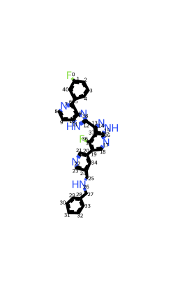 Fc1cccc(-c2nccc3[nH]c(-c4n[nH]c5ncc(-c6cncc(CNCc7ccccc7)c6)c(F)c45)nc23)c1